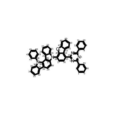 c1ccc(-c2nc(-c3ccccc3)nc(-c3ccc(-n4c5ccccc5c5c4ccc4c6ccccc6n(-c6ccccc6)c45)c4oc5ccccc5c34)n2)cc1